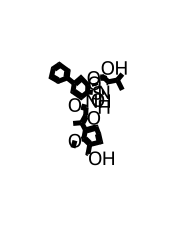 COc1c(CO)ccc2oc(C(=O)NC3(S(=O)(=O)N[C@H](C(=O)O)C(C)C)C=CC(c4ccccc4)=CC3)c(C)c12